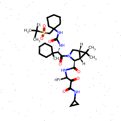 CCCC(NC(=O)[C@@H]1[C@@H]2[C@H](CN1C(=O)[C@@H](NC(=O)NC1(CS(=O)(=O)C(C)(C)CC)CCCCC1)C1(C)CCCCC1)C2(C)C)C(=O)C(=O)NC1CC1